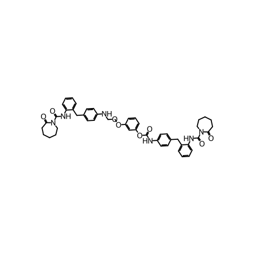 O=C(Nc1ccc(Cc2ccccc2NC(=O)N2CCCCCC2=O)cc1)Oc1cccc(OOCNc2ccc(Cc3ccccc3NC(=O)N3CCCCCC3=O)cc2)c1